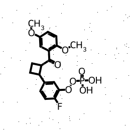 COc1ccc(OC)c(C(=O)C2CCC2c2ccc(F)c(OOP(=O)(O)O)c2)c1